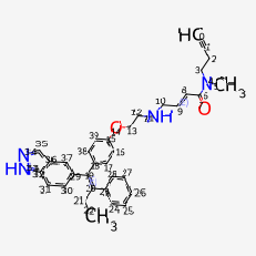 C#CCCN(C)C(=O)/C=C/CNCCOc1ccc(/C(=C(/CC)c2ccccc2)c2ccc3[nH]ncc3c2)cc1